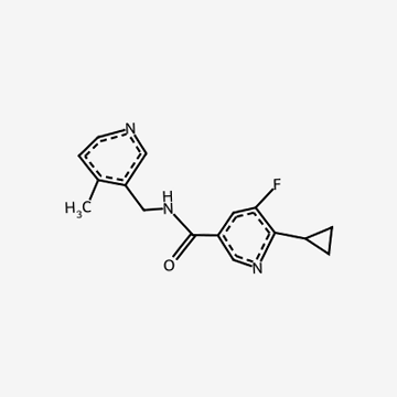 Cc1ccncc1CNC(=O)c1cnc(C2CC2)c(F)c1